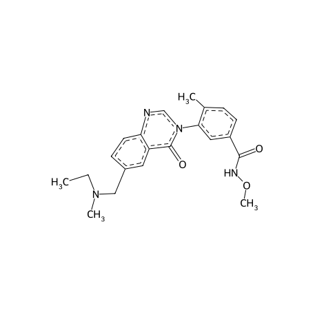 CCN(C)Cc1ccc2ncn(-c3cc(C(=O)NOC)ccc3C)c(=O)c2c1